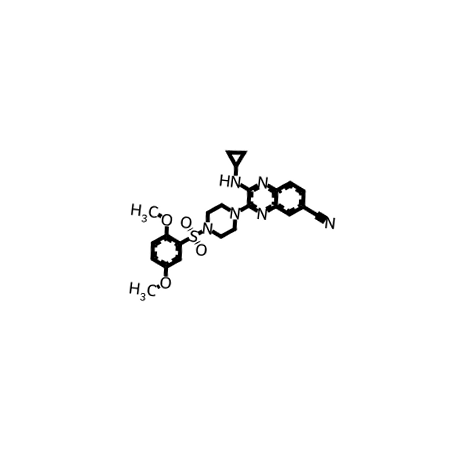 COc1ccc(OC)c(S(=O)(=O)N2CCN(c3nc4cc(C#N)ccc4nc3NC3CC3)CC2)c1